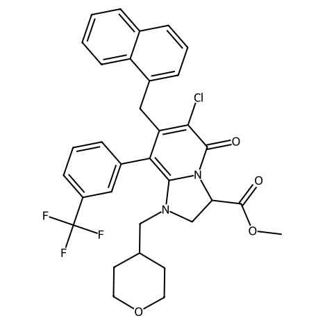 COC(=O)C1CN(CC2CCOCC2)c2c(-c3cccc(C(F)(F)F)c3)c(Cc3cccc4ccccc34)c(Cl)c(=O)n21